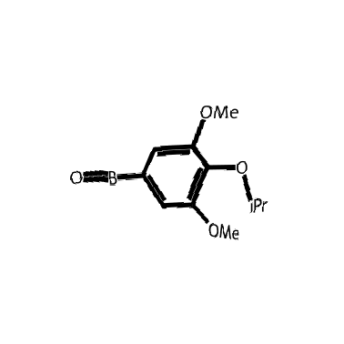 COc1cc(B=O)cc(OC)c1OC(C)C